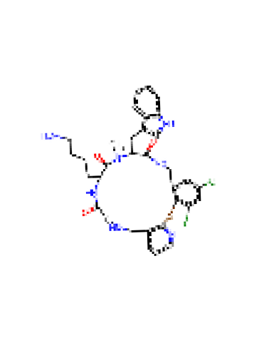 CN1C(=O)C(CCCCN)NC(=O)CNCc2cccnc2Sc2c(Cl)cc(Cl)cc2CNC(=O)C1Cc1c[nH]c2ccccc12